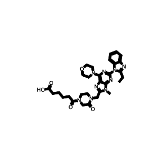 CCc1nc2ccccc2n1-c1nc(N2CCOCC2)c2nc(CN3CCN(C(=O)CCCCC(=O)O)CC3=O)n(C)c2n1